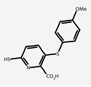 COc1ccc(Sc2ccc(S)nc2C(=O)O)cc1